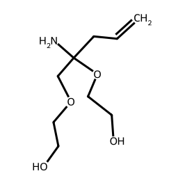 C=CCC(N)(COCCO)OCCO